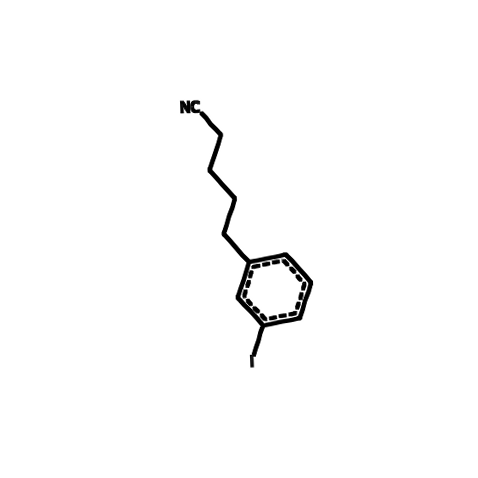 N#CCCCCc1cccc(I)c1